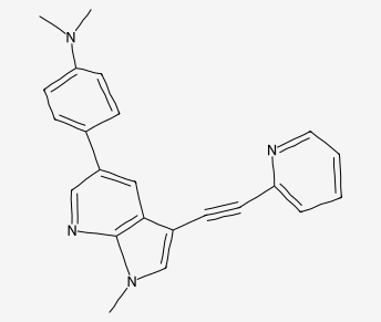 CN(C)c1ccc(-c2cnc3c(c2)c(C#Cc2ccccn2)cn3C)cc1